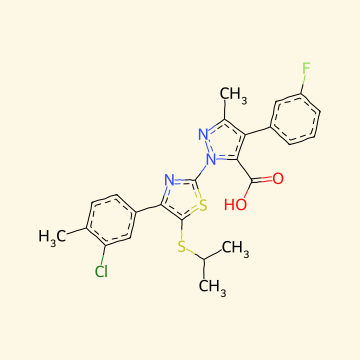 Cc1ccc(-c2nc(-n3nc(C)c(-c4cccc(F)c4)c3C(=O)O)sc2SC(C)C)cc1Cl